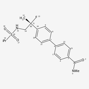 CNC(=O)c1ccc(-c2ccc([C@@](C)(F)CNS(=O)(=O)C(C)C)cc2)cc1